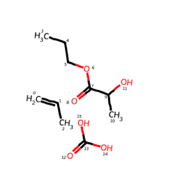 C=CC.CCCOC(=O)C(C)O.O=C(O)O